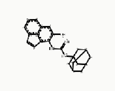 N=C(Nc1c(O)cc2cccc3c2c1C=C3)NC12CC3CC(CC(C3)C1)C2